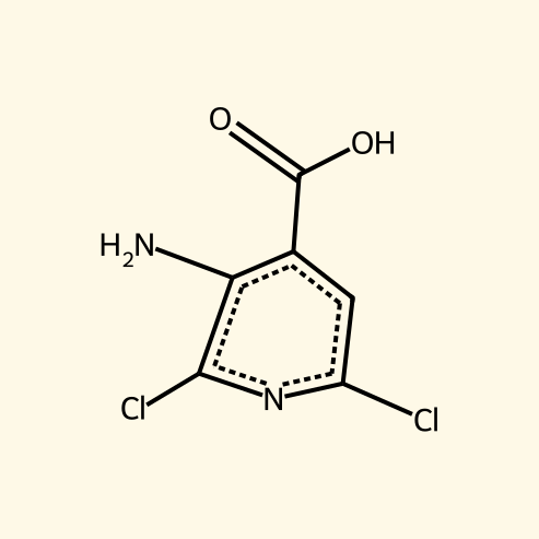 Nc1c(C(=O)O)cc(Cl)nc1Cl